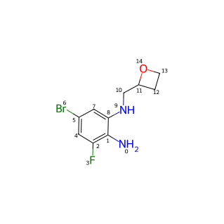 Nc1c(F)cc(Br)cc1NCC1CCO1